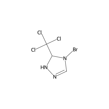 ClC(Cl)(Cl)C1NN=CN1Br